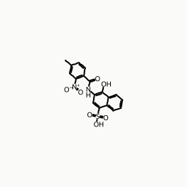 Cc1ccc(C(=O)Nc2cc(S(=O)(=O)O)c3ccccc3c2O)c([N+](=O)[O-])c1